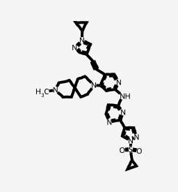 CN1CCC2(CC1)CCN(c1cc(Nc3ccnc(-c4cnn(S(=O)(=O)C5CC5)c4)n3)ncc1C#Cc1cnn(C3CC3)c1)CC2